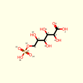 O=C(O)C(O)C(O)C(O)C(O)COS(=O)(=O)O